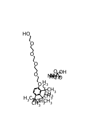 CC(C)(C)c1ccc(OCCOCCOCCOCCOCCO)c(C(C)(C)C)c1C(C)(C)C.N.N.O=S(=O)(O)O